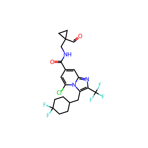 O=CC1(CNC(=O)c2cc(Cl)n3c(CC4CCC(F)(F)CC4)c(C(F)(F)F)nc3c2)CC1